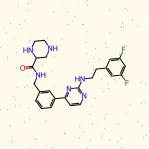 O=C(NCc1cccc(-c2ccnc(NCCc3cc(F)cc(F)c3)n2)c1)C1CNCCN1